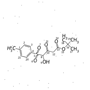 Cc1ccc(S(=O)(=O)C(O)C(=O)CC(=O)OC(C)(C)C)cc1